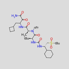 CCCN(C(=O)[C@@H](NC(=O)N[C@H](CS(=O)(=O)C(C)(C)C)C1CCCCC1)C(C)(C)C)[C@@H](C)C(=O)NC(CC1CCC1)C(=O)C(N)=O